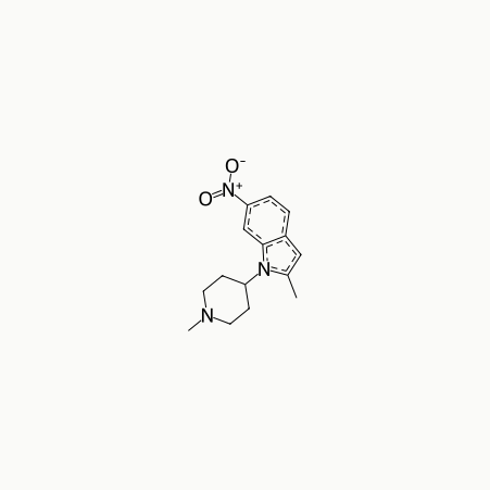 Cc1cc2ccc([N+](=O)[O-])cc2n1C1CCN(C)CC1